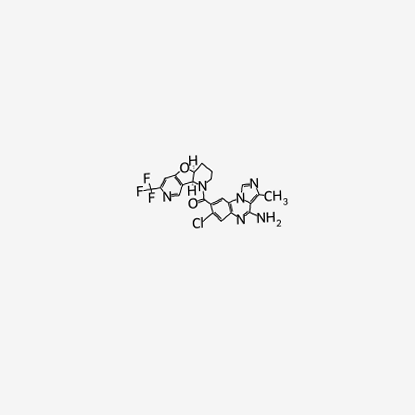 Cc1ncn2c1c(N)nc1cc(Cl)c(C(=O)N3CCC[C@@H]4Oc5cc(C(F)(F)F)ncc5[C@@H]43)cc12